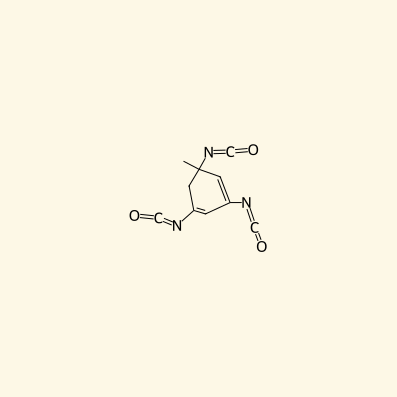 CC1(N=C=O)C=C(N=C=O)C=C(N=C=O)C1